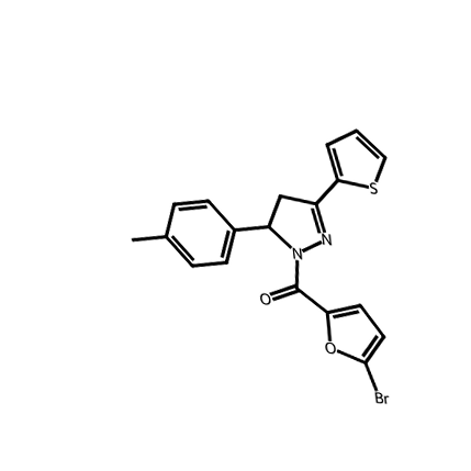 Cc1ccc(C2CC(c3cccs3)=NN2C(=O)c2ccc(Br)o2)cc1